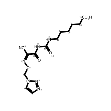 N#CC(=NOCn1ccnn1)C(=O)NC(=O)NCCCCCC(=O)O